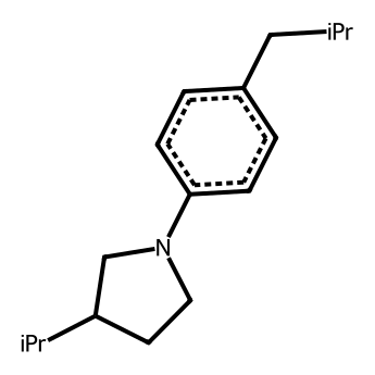 CC(C)Cc1ccc(N2CCC(C(C)C)C2)cc1